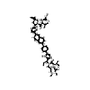 CC[C@@H](c1ncc(-c2ccc(-c3ccc4cc(-c5cnc([C@@H]6CC7(CC7)CN6C(=O)[C@@H](NC(=O)OC)C(C)C)[nH]5)ccc4c3)cc2)[nH]1)N(CCCOC)C(=O)[C@@H](NC(=O)OC)C(C)C